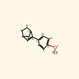 CCOc1ccc(C2=CC3CCC2C3)cc1